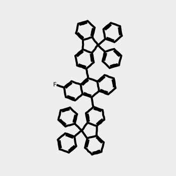 Fc1ccc2c(-c3ccc4c(c3)C(c3ccccc3)(c3ccccc3)c3ccccc3-4)c3ccccc3c(-c3ccc4c(c3)C(c3ccccc3)(c3ccccc3)c3ccccc3-4)c2c1